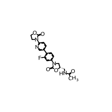 CC(=O)NC[C@H]1CN(c2ccc(-c3ccc(N4CCOC4=O)nc3)c(F)c2)C(=O)O1